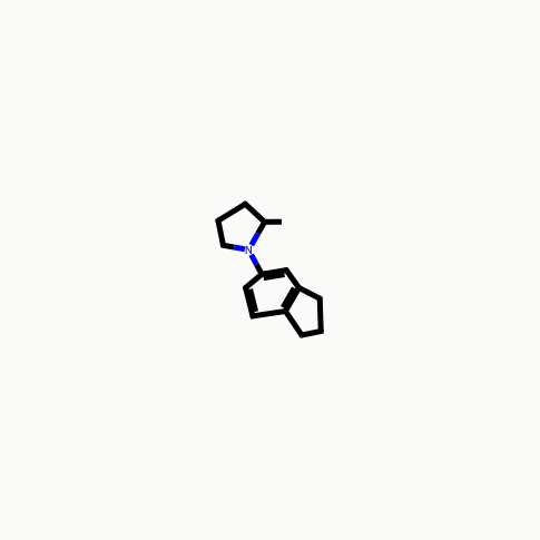 CC1CCCN1c1ccc2c(c1)CCC2